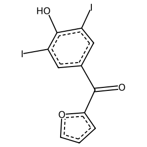 O=C(c1cc(I)c(O)c(I)c1)c1ccco1